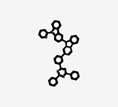 C1=CC2c3ccccc3N(c3ccc4c(c3)c3ccccc3n4-c3ccccn3)C2C=C1c1cccc(-c2nc(-c3ccccc3)nc(-c3ccccc3)n2)c1